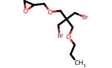 CCCOCC(CBr)(CBr)COCC1CO1